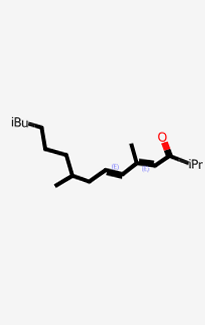 CCC(C)CCCC(C)C/C=C/C(C)=C/C(=O)C(C)C